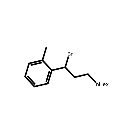 CCCCCCCCC(Br)c1ccccc1C